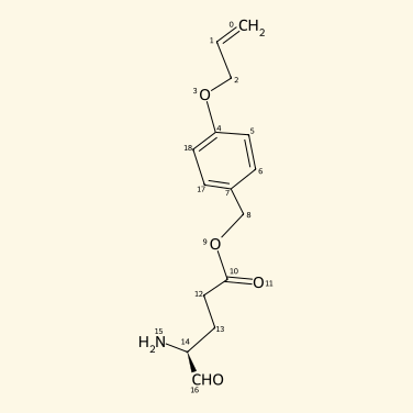 C=CCOc1ccc(COC(=O)CC[C@H](N)C=O)cc1